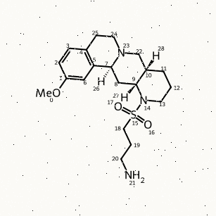 COc1ccc2c(c1)[C@@H]1C[C@@H]3[C@@H](CCCN3S(=O)(=O)CCCN)CN1CC2